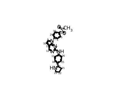 CS(=O)(=O)c1ccc(-n2ccc3cnc(Nc4ccc(C5CCCN5)cc4)nc32)cc1